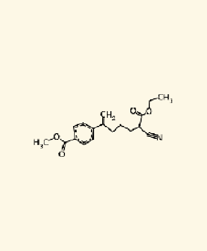 C=C(CCCC(C#N)C(=O)OCC)c1ccc(C(=O)OC)cc1